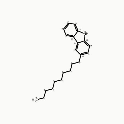 CCCCCCCCCCc1ccc2[nH]c3ccccc3c2c1